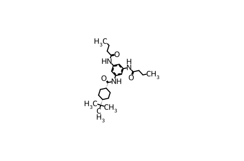 CCCC(=O)Nc1cc(NC(=O)CCC)cc(NC(=O)[C@H]2CC[C@@H](C(C)(C)C)CC2)c1